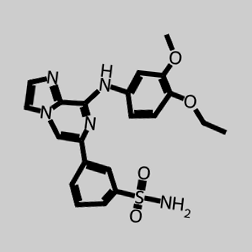 CCOc1ccc(Nc2nc(-c3cccc(S(N)(=O)=O)c3)cn3ccnc23)cc1OC